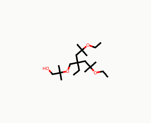 CCOC(C)(C)CC(CC)(COC(C)(C)CO)CC(C)(C)OCC